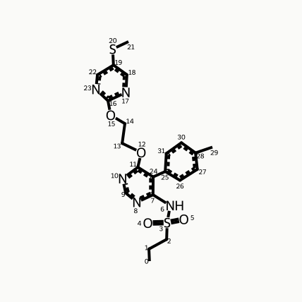 CCCS(=O)(=O)Nc1ncnc(OCCOc2ncc(SC)cn2)c1-c1ccc(C)cc1